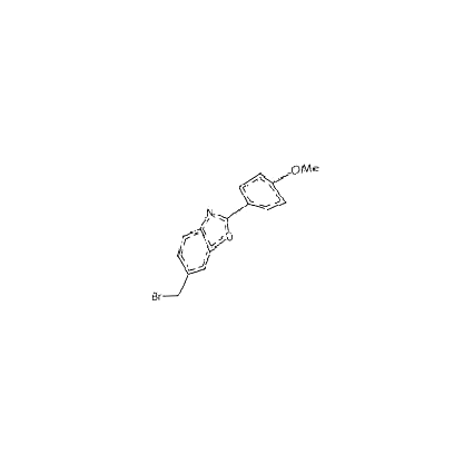 COc1ccc(-c2nc3ccc(CBr)cc3o2)cc1